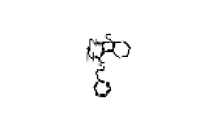 c1ccc(CSc2ncnc3sc4c(c23)CCCC4)cc1